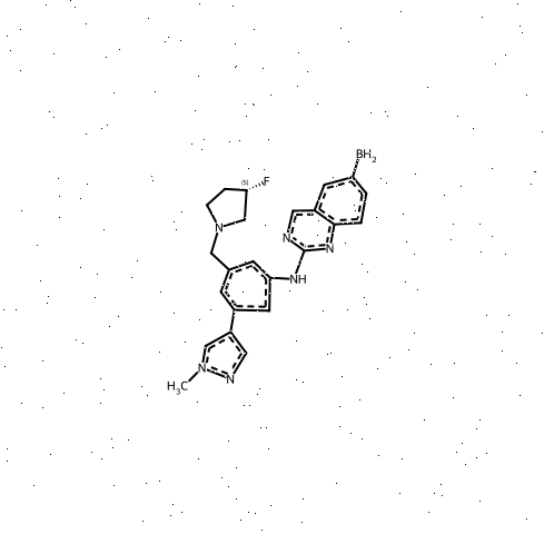 Bc1ccc2nc(Nc3cc(CN4CC[C@H](F)C4)cc(-c4cnn(C)c4)c3)ncc2c1